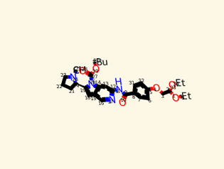 CCOC(COc1ccc(C(=O)Nc2cc3c(cn2)cc([C@H]2CCCN2C)n3C(=O)OC(C)(C)C)cc1)OCC